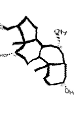 CCC1CCC2C3C(C[C@H](O)C12C)C1(C)CC[C@@H](O)CC1C[C@H]3O